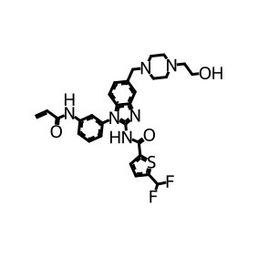 C=CC(=O)Nc1cccc(-n2c(NC(=O)c3ccc(C(F)F)s3)nc3cc(CN4CCN(CCO)CC4)ccc32)c1